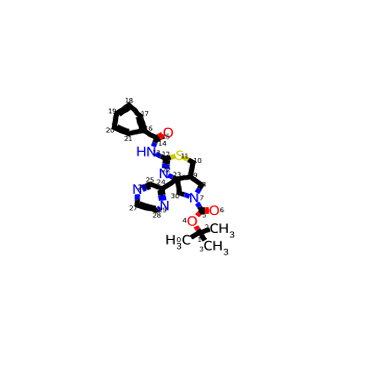 CC(C)(C)OC(=O)N1CC2CSC(NC(=O)c3ccccc3)=NC2(c2cnccn2)C1